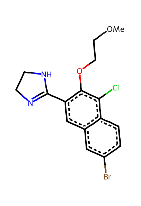 COCCOc1c(C2=NCCN2)cc2cc(Br)ccc2c1Cl